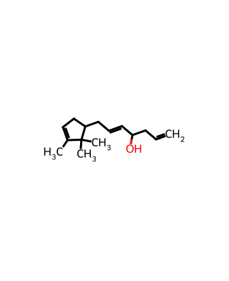 C=CCC(O)C=CCC1CC=C(C)C1(C)C